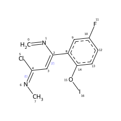 C=N/C(=C\C(Cl)=N/C)c1cc(F)ccc1OI